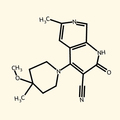 COC1(C)CCN(c2c(C#N)c(=O)[nH]c3cnc(C)cc23)CC1